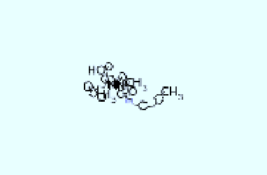 Cc1ccc(Cc2ccc(C/C=C/[C@H](C)C(=O)[C@H](C)NC(=O)[C@H](CCC(=O)O)NC(=O)CCN3C(=O)C=CC3=O)cc2)cc1